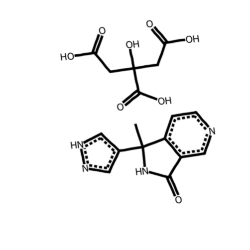 CC1(c2cn[nH]c2)NC(=O)c2cnccc21.O=C(O)CC(O)(CC(=O)O)C(=O)O